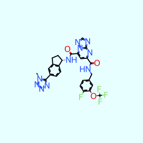 Cn1nnnc1-c1ccc2c(c1)CC[C@@H]2NC(=O)c1cc(C(=O)NCc2ccc(F)c(OC(F)(F)F)c2)nc2ncnn12